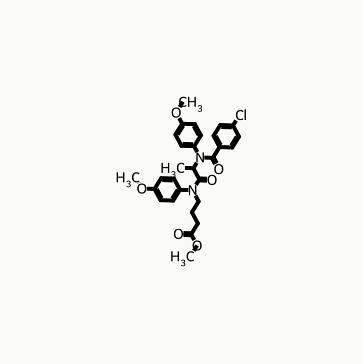 COC(=O)CCCN(C(=O)C(C)N(C(=O)c1ccc(Cl)cc1)c1ccc(OC)cc1)c1ccc(OC)cc1